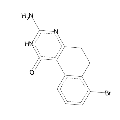 Nc1nc2c(c(=O)[nH]1)-c1cccc(Br)c1CC2